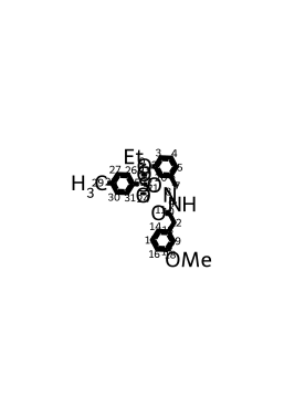 CCOc1cccc(/C=N/NC(=O)Cc2cccc(OC)c2)c1OS(=O)(=O)c1ccc(C)cc1